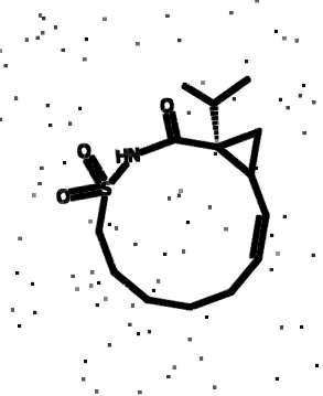 CC(C)[C@]12CC1/C=C\CCCCCS(=O)(=O)NC2=O